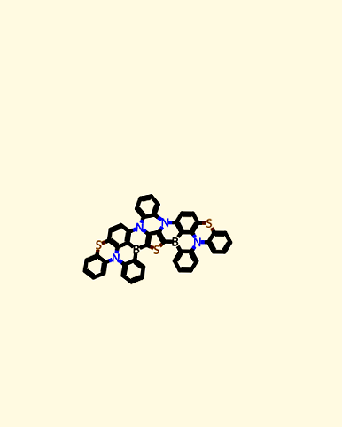 c1ccc2c(c1)Sc1ccc3c4c1N2c1ccccc1B4c1sc2c4c1N3c1ccccc1N4c1ccc3c4c1B2c1ccccc1N4c1ccccc1S3